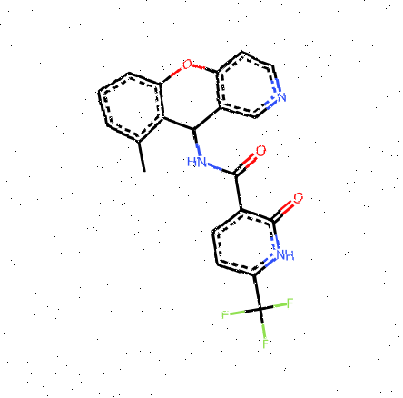 Cc1cccc2c1C(NC(=O)c1ccc(C(F)(F)F)[nH]c1=O)c1cnccc1O2